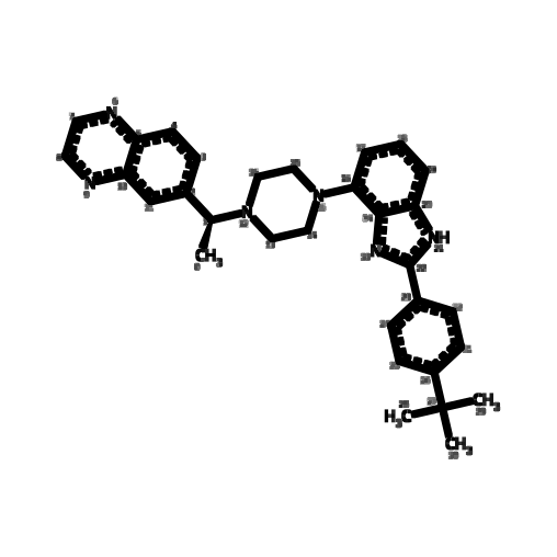 C[C@@H](c1ccc2nccnc2c1)N1CCN(c2cccc3[nH]c(-c4ccc(C(C)(C)C)cc4)nc23)CC1